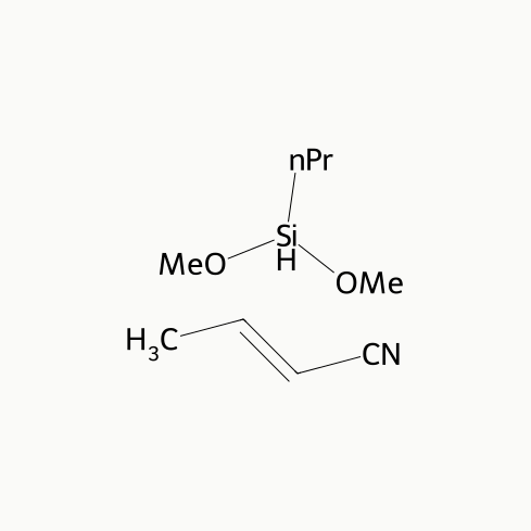 CC=CC#N.CCC[SiH](OC)OC